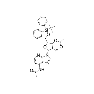 CC(=O)Nc1ncnc2c1ncn2C1OC(CO[Si](c2ccccc2)(c2ccccc2)C(C)(C)C)C(OC(C)=O)C1F